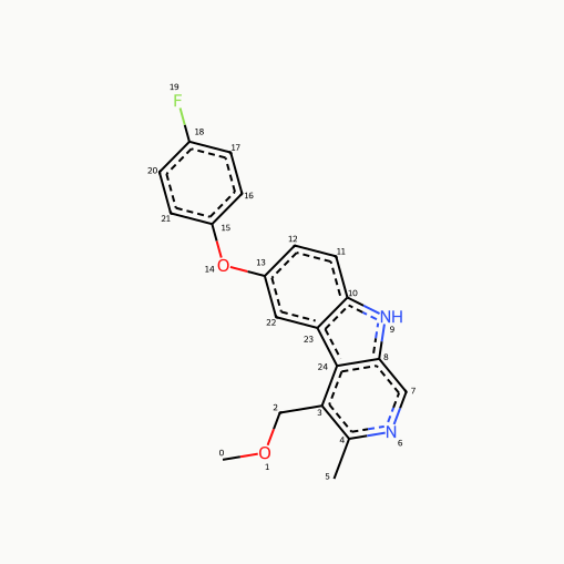 COCc1c(C)ncc2[nH]c3ccc(Oc4ccc(F)cc4)cc3c12